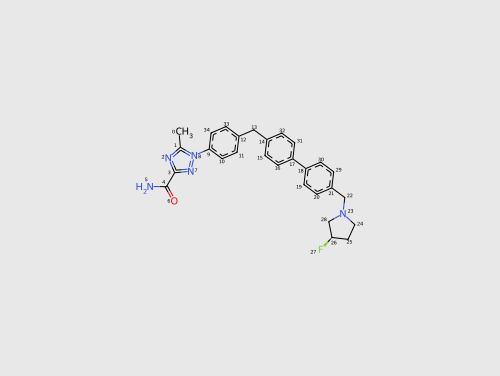 Cc1nc(C(N)=O)nn1-c1ccc(Cc2ccc(-c3ccc(CN4CC[C@@H](F)C4)cc3)cc2)cc1